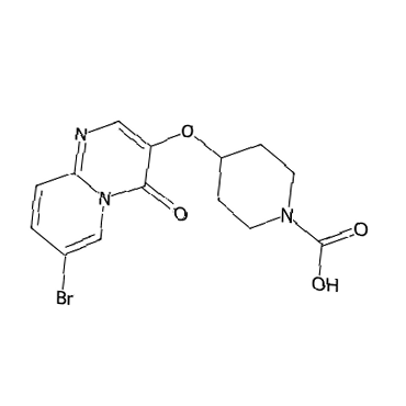 O=C(O)N1CCC(Oc2cnc3ccc(Br)cn3c2=O)CC1